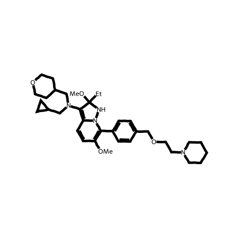 CCC1(OC)NN2C(=C1N(CC1CCOCC1)CC1CC1)C=CC(OC)=C2c1ccc(COCCN2CCCCC2)cc1